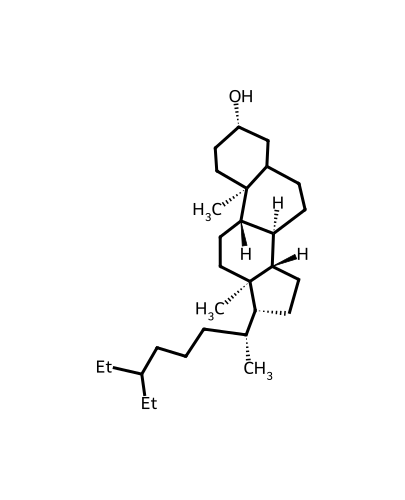 CCC(CC)CCC[C@@H](C)[C@H]1CC[C@H]2[C@@H]3CCC4C[C@@H](O)CC[C@]4(C)[C@H]3CC[C@]12C